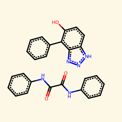 O=C(Nc1ccccc1)C(=O)Nc1ccccc1.Oc1ccc2[nH]nnc2c1-c1ccccc1